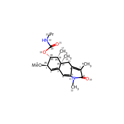 CO[C@@H]1C=C2C=C3C(=C(C)C(=O)N3C)C[C@]2(C)[C@@H](C)[C@H]1OC(=O)NC(C)C